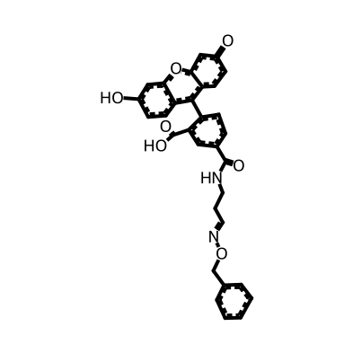 O=C(NCCC=NOCc1ccccc1)c1ccc(-c2c3ccc(=O)cc-3oc3cc(O)ccc23)c(C(=O)O)c1